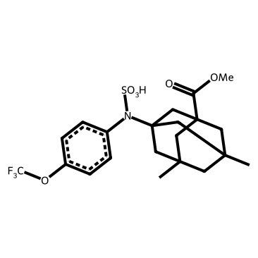 COC(=O)C12CC3(C)CC(C)(C1)CC(N(c1ccc(OC(F)(F)F)cc1)S(=O)(=O)O)(C3)C2